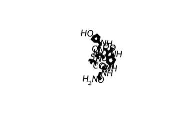 CC1(C)S[C@@H]2[C@H](N(C(=O)c3cc4cc(NC(=O)NCC(N)=O)ccc4[nH]c3=O)C(=O)C(N)c3ccc(O)cc3)C(=O)N2[C@H]1C(=O)O